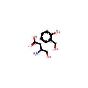 NC(CO)CC(=O)O.OCc1ccccc1O